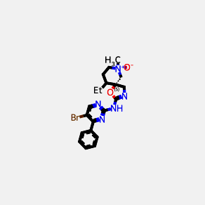 CCC1CC[N+](C)([O-])C[C@@]12CN=C(Nc1ncc(Br)c(-c3ccccc3)n1)O2